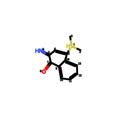 C[SH](C)C1=CC(=N)C(=O)c2ccccc21